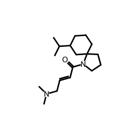 CC(C)C1CCCC2(CCCN2C(=O)/C=C/CN(C)C)C1